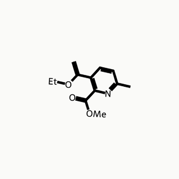 C=C(OCC)c1ccc(C)nc1C(=O)OC